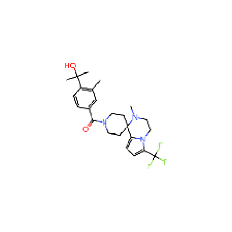 Cc1cc(C(=O)N2CCC3(CC2)c2ccc(C(F)(F)F)n2CCN3C)ccc1C(C)(C)O